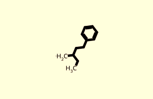 [CH2]C(CC)CCc1ccccc1